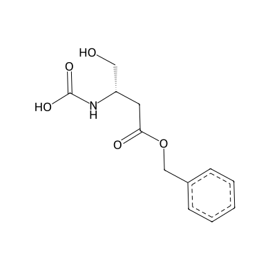 O=C(O)N[C@H](CO)CC(=O)OCc1ccccc1